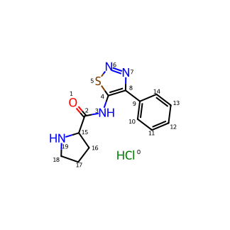 Cl.O=C(Nc1snnc1-c1ccccc1)C1CCCN1